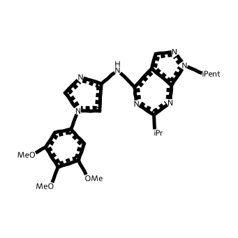 CCCC(C)n1ncc2c(Nc3cn(-c4cc(OC)c(OC)c(OC)c4)cn3)nc(C(C)C)nc21